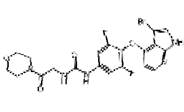 O=C(NCC(=O)N1CCOCC1)Nc1cc(F)c(Oc2ccnc3[nH]cc(Br)c23)c(F)c1